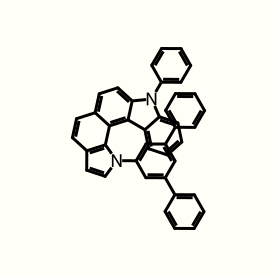 c1ccc(-c2cc(-c3ccccc3)cc(-n3ccc4ccc5ccc6c(c7ccccc7n6-c6ccccc6)c5c43)c2)cc1